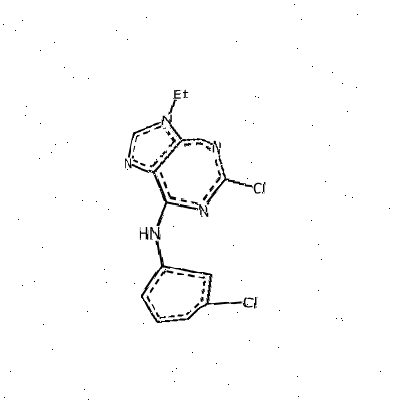 CCn1cnc2c(Nc3cccc(Cl)c3)nc(Cl)nc21